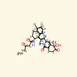 CC[C@@]1(O)C(=O)CCc2c1cc1n(c2=O)Cc2c-1nc1cc(F)c(C)c3c1c2[C@@H](NC(=O)CC(=O)CSC(C)C)CC3